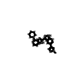 Cn1cc(-c2cnc3[nH]nc(-c4nc5c(N6CCCCC6)nccc5[nH]4)c3c2)cn1